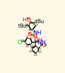 CC(C)(C)c1cc(NS(=O)(=O)c2cc(Cl)ccc2C2(O)NC(=O)c3ccccc32)cc(C(C)(C)C)c1O